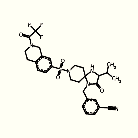 CC(C)C1NC2(CCN(S(=O)(=O)c3ccc4c(c3)CN(C(=O)C(F)(F)F)CC4)CC2)N(Cc2cccc(C#N)c2)C1=O